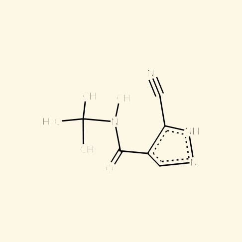 CN(C(=O)c1cn[nH]c1C#N)C(C)(C)C